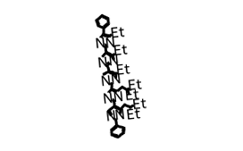 CCc1nc(-c2cnc(-c3cnc(-c4cnc(-c5cnc(-c6ccccc6)nc5CC(CC)CC)nc4CC(CC)CC)nc3CC)nc2CC)ncc1-c1ccccc1